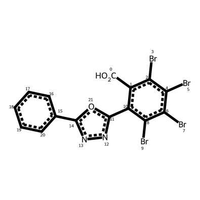 O=C(O)c1c(Br)c(Br)c(Br)c(Br)c1-c1nnc(-c2ccccc2)o1